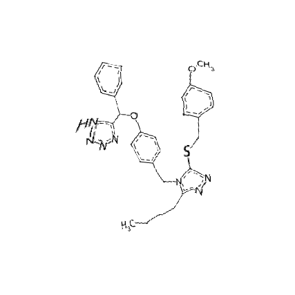 CCCCc1nnc(SCc2ccc(OC)cc2)n1Cc1ccc(OC(c2ccccc2)c2nnn[nH]2)cc1